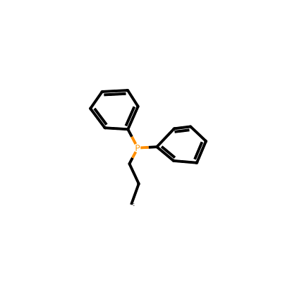 [CH]CCP(c1ccccc1)c1ccccc1